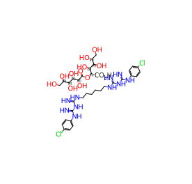 N=C(NCCCCCCNC(=N)NC(=N)Nc1ccc(Cl)cc1)NC(=N)Nc1ccc(Cl)cc1.O=C(O[C@@H](C(=O)O)[C@@H](O)[C@H](O)[C@H](O)CO)[C@H](O)[C@@H](O)[C@H](O)[C@H](O)CO